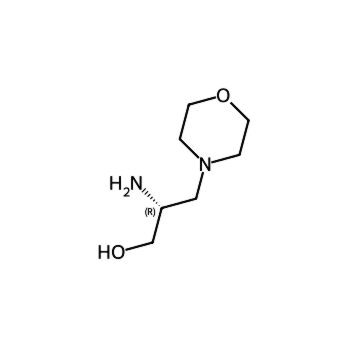 N[C@@H](CO)CN1CCOCC1